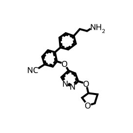 N#Cc1ccc(-c2ccc(CCN)cc2)c(Oc2cnnc(OC3CCOC3)c2)c1